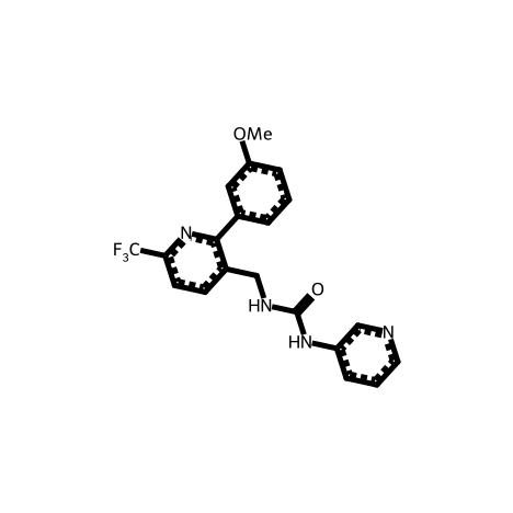 COc1cccc(-c2nc(C(F)(F)F)ccc2CNC(=O)Nc2cccnc2)c1